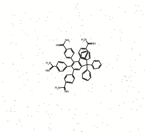 N=C(N)c1ccc(-c2cc(C(c3ccccc3)(c3ccccc3)c3ccccc3)c(-c3ccc(C(=N)N)cc3)c(-c3ccc(C(=N)N)cc3)c2-c2ccc(C(=N)N)cc2)cc1